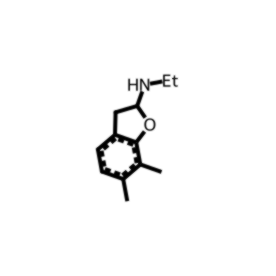 CCNC1Cc2ccc(C)c(C)c2O1